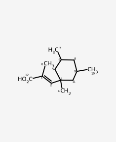 CC(=CC1(C)CC(C)CC(C)C1)C(=O)O